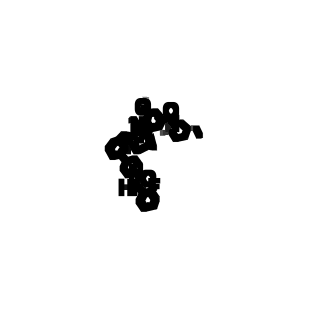 CC[C@@H]1CC[C@H](C)N(C(=O)c2cc(OC)c3c(c2)nc(-c2cc4cccc(C5CCN(C(=O)Nc6ccccc6F)CC5)c4n2CC2CC2)n3C)C1